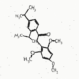 COc1cc(OC)c(CC(=O)c2ccc(C(C)C)[c]c2C(C)C)c(OC)c1